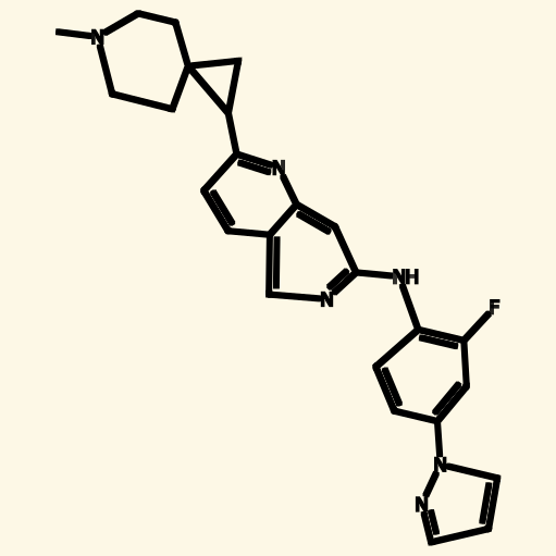 CN1CCC2(CC1)CC2c1ccc2cnc(Nc3ccc(-n4cccn4)cc3F)cc2n1